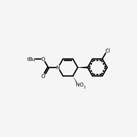 CC(C)(C)OC(=O)N1C=C[C@@H](c2cccc(Cl)c2)[C@H]([N+](=O)[O-])C1